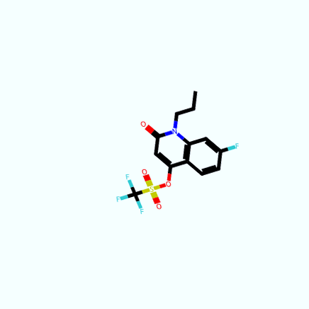 CCCn1c(=O)cc(OS(=O)(=O)C(F)(F)F)c2ccc(F)cc21